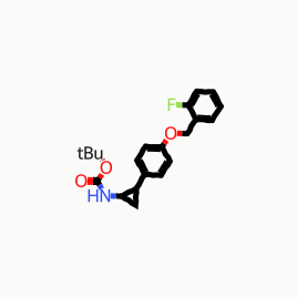 CC(C)(C)OC(=O)NC1CC1c1ccc(OCc2ccccc2F)cc1